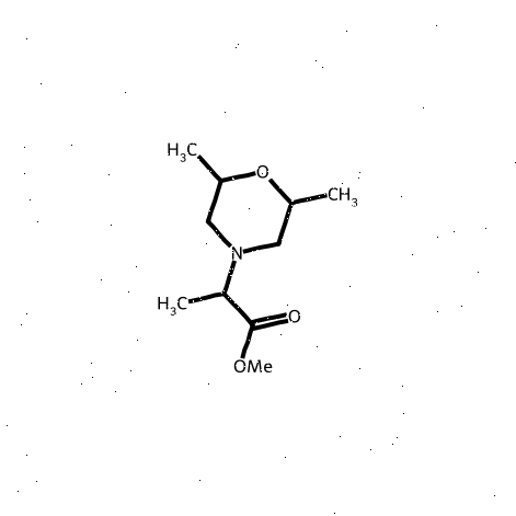 COC(=O)C(C)N1CC(C)OC(C)C1